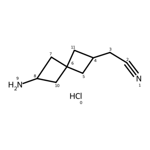 Cl.N#CCC1CC2(CC(N)C2)C1